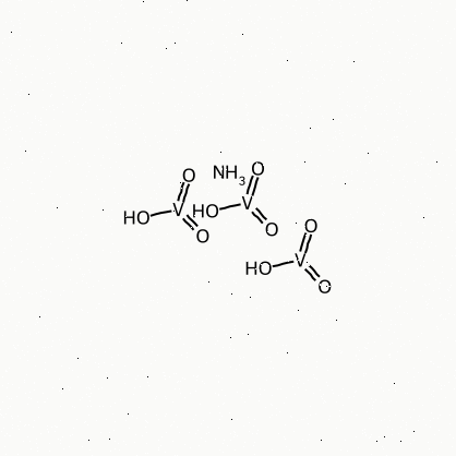 N.[O]=[V](=[O])[OH].[O]=[V](=[O])[OH].[O]=[V](=[O])[OH]